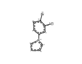 Clc1cc(-n2cccc2)ccc1Br